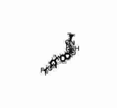 C[C@H](c1ccc(OCC(F)F)nc1)N1CCc2ccc(S(=O)(=O)Nc3noc(C4CC4)n3)cc2C1